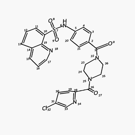 O=C(c1ccc(NS(=O)(=O)c2cccc3cccnc23)cc1)N1CCN(C(=O)c2ccc(Cl)cn2)CC1